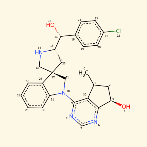 CC1C[C@@H](O)c2ncnc(N3C[C@]4(CN[C@H]([C@H](O)c5ccc(Cl)cc5)C4)c4ccccc43)c21